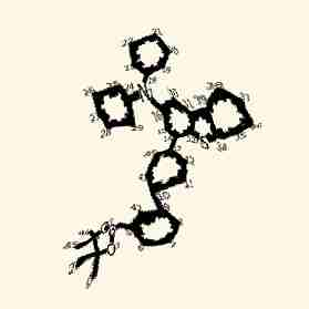 CC1(C)OB(c2cccc(-c3ccc(-c4cc(N(c5ccccc5)c5ccccc5)cc5c4sc4ccccc45)cc3)c2)OC1(C)C